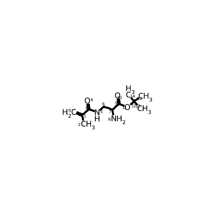 C=C(C)C(=O)NCC(N)C(=O)OC(C)(C)C